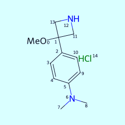 COC1(c2ccc(N(C)C)cc2)CNC1.Cl